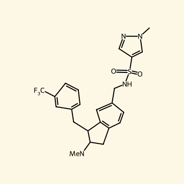 CNC1Cc2ccc(CNS(=O)(=O)c3cnn(C)c3)cc2C1Cc1cccc(C(F)(F)F)c1